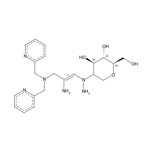 N/C(=C\N(N)C1CO[C@H](CO)[C@@H](O)[C@@H]1O)CN(Cc1ccccn1)Cc1ccccn1